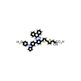 Cc1ccc(N2c3ccc(-c4ccc(-c5ccc(C6=S=C(/C=C(\C#N)C(=O)O)C=C6)s5)c5nc(-c6ccccc6)c(-c6ccccc6)nc45)cc3C3CCCC32)cc1